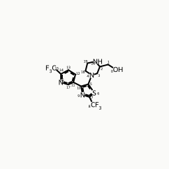 OCC1CN(c2sc(C(F)(F)F)nc2-c2ccc(C(F)(F)F)nc2)CCN1